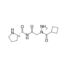 NN(CC(=O)NC(=O)[C@@H]1CCCN1)C(=O)C1CCC1